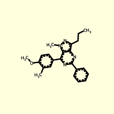 CCCc1nn(C)c2c(-c3ccc(OC)c(C)c3)nc(-c3ccccc3)nc12